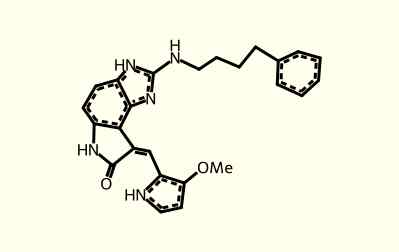 COc1cc[nH]c1C=C1C(=O)Nc2ccc3[nH]c(NCCCCc4ccccc4)nc3c21